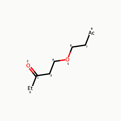 CCC(=O)CCOCCC(C)=O